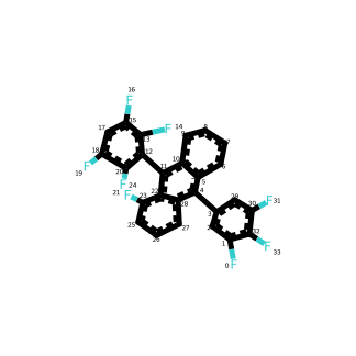 Fc1cc(-c2c3ccccc3c(-c3c(F)c(F)cc(F)c3F)c3c(F)cccc23)cc(F)c1F